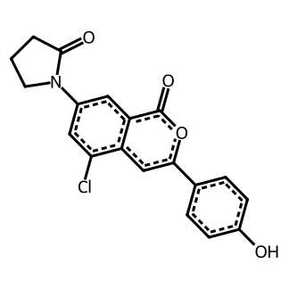 O=C1CCCN1c1cc(Cl)c2cc(-c3ccc(O)cc3)oc(=O)c2c1